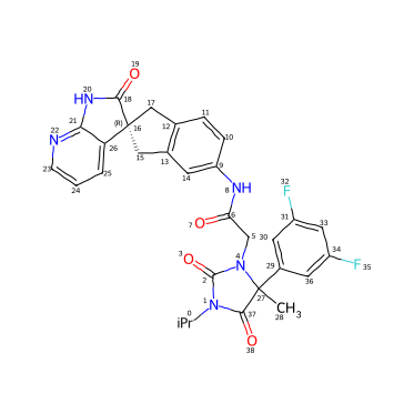 CC(C)N1C(=O)N(CC(=O)Nc2ccc3c(c2)C[C@@]2(C3)C(=O)Nc3ncccc32)C(C)(c2cc(F)cc(F)c2)C1=O